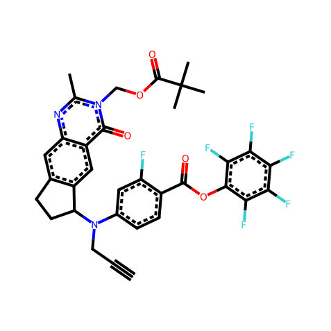 C#CCN(c1ccc(C(=O)Oc2c(F)c(F)c(F)c(F)c2F)c(F)c1)C1CCc2cc3nc(C)n(COC(=O)C(C)(C)C)c(=O)c3cc21